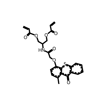 C=CC(=O)OCC(COC(=O)C=C)NC(=O)COc1ccc(C)c2c(=O)c3ccccc3sc12